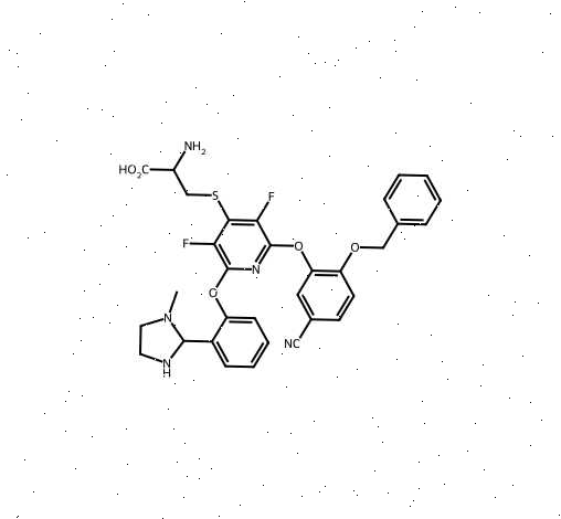 CN1CCNC1c1ccccc1Oc1nc(Oc2cc(C#N)ccc2OCc2ccccc2)c(F)c(SCC(N)C(=O)O)c1F